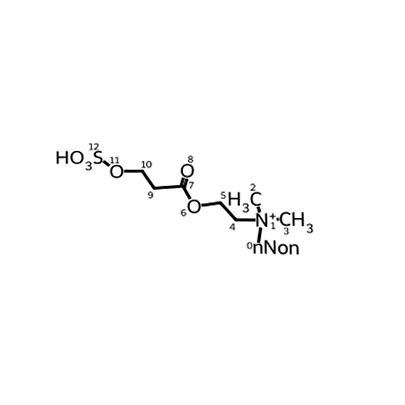 CCCCCCCCC[N+](C)(C)CCOC(=O)CCOS(=O)(=O)O